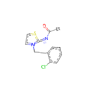 CCC(=O)/N=c1\sccn1Cc1ccccc1Cl